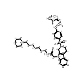 COc1ccc(S(=O)(=O)N2CCc3c(n(CC(=O)NCCCSCCCN4CCOCC4)c4ccccc34)C2)cc1.Cl.O=CNO